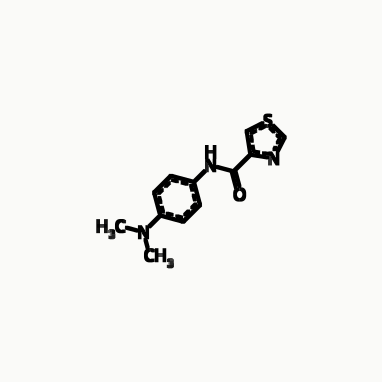 CN(C)c1ccc(NC(=O)c2cscn2)cc1